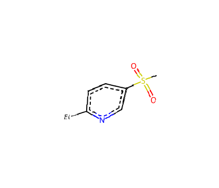 CCc1ccc(S(C)(=O)=O)cn1